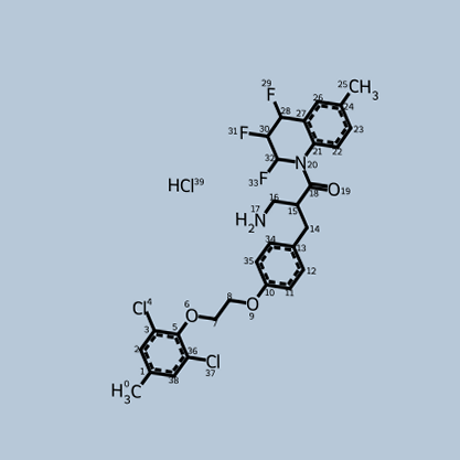 Cc1cc(Cl)c(OCCOc2ccc(CC(CN)C(=O)N3c4ccc(C)cc4C(F)C(F)C3F)cc2)c(Cl)c1.Cl